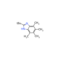 Cc1c(C)c(C)c2[nH]c(C(C)(C)C)nc2c1C